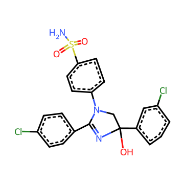 NS(=O)(=O)c1ccc(N2CC(O)(c3cccc(Cl)c3)N=C2c2ccc(Cl)cc2)cc1